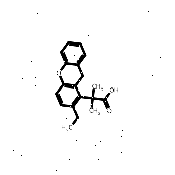 CCc1ccc2c(c1C(C)(C)C(=O)O)Cc1ccccc1O2